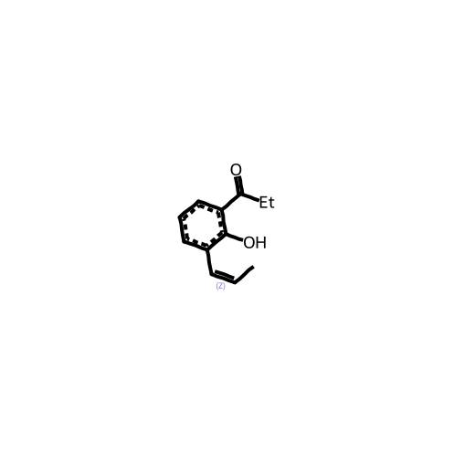 C/C=C\c1cccc(C(=O)CC)c1O